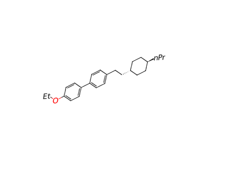 CCC[C@H]1CC[C@H](CCc2ccc(-c3ccc(OCC)cc3)cc2)CC1